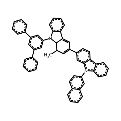 CC1C=C(c2ccc3c4ccccc4n(-c4ccc5ccccc5c4)c3c2)C=C2c3ccccc3N(c3cc(-c4ccccc4)cc(-c4ccccc4)c3)C21